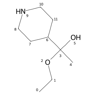 CCOC(C)(O)C1CCNCC1